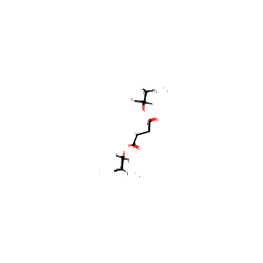 CCC(CC)(OC(=O)CCC(=O)OC(CC)(CC)C(C)C#N)C(C)C#N